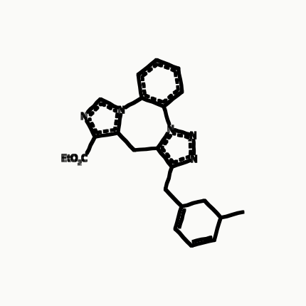 CCOC(=O)c1ncn2c1Cc1c(CC3=CC=CC(C)C3)nnn1-c1ccccc1-2